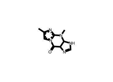 Cc1cn2c(n1)N(C)C1NC=NC1C2=O